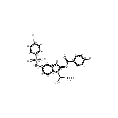 CCC(C(=O)O)n1c(=NC(=O)c2ccc(C)cc2)sc2cc(NS(=O)(=O)c3ccc(F)cc3)ccc21